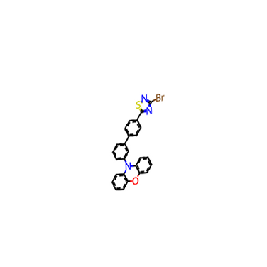 Brc1nsc(-c2ccc(-c3cccc(N4c5ccccc5Oc5ccccc54)c3)cc2)n1